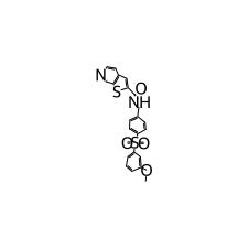 COc1cccc(S(=O)(=O)c2ccc(CNC(=O)c3cc4ccncc4s3)cc2)c1